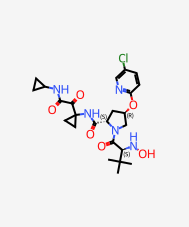 CC(C)(C)[C@H](NO)C(=O)N1C[C@H](Oc2ccc(Cl)cn2)C[C@H]1C(=O)NC1(C(=O)C(=O)NC2CC2)CC1